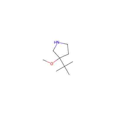 COC1(C(C)(C)C)CCNC1